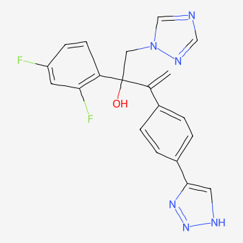 C=C(c1ccc(-c2c[nH]nn2)cc1)C(O)(Cn1cncn1)c1ccc(F)cc1F